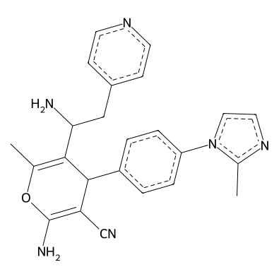 CC1=C(C(N)Cc2ccncc2)C(c2ccc(-n3ccnc3C)cc2)C(C#N)=C(N)O1